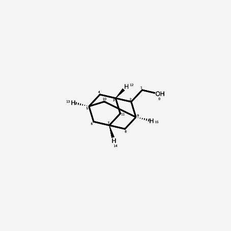 OCC1[C@H]2C[C@@H]3C[C@@H](C[C@H]1C3)C2